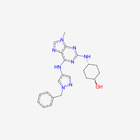 Cn1cnc2c(Nc3cnn(Cc4ccccc4)c3)nc(N[C@H]3CC[C@H](O)CC3)nc21